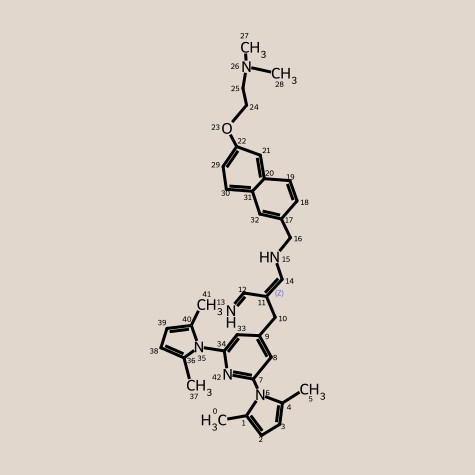 Cc1ccc(C)n1-c1cc(C/C(C=N)=C/NCc2ccc3cc(OCCN(C)C)ccc3c2)cc(-n2c(C)ccc2C)n1